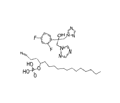 CCCCCCCCCCCCCC(CCC#N)OP(=O)(O)O.OC(Cn1cncn1)(Cn1cncn1)c1ccc(F)cc1F